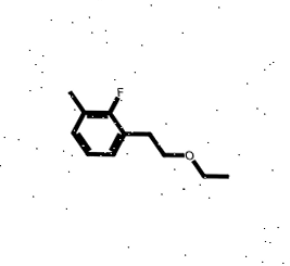 CCOCCc1cccc(C)c1F